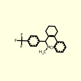 CN(C)C(C1=C(c2ccccc2)CCCC1)c1ccc(C(F)(F)F)cc1